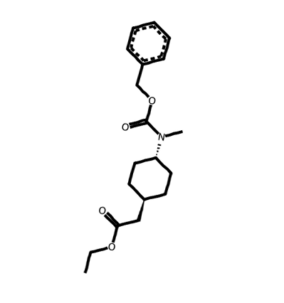 CCOC(=O)C[C@H]1CC[C@H](N(C)C(=O)OCc2ccccc2)CC1